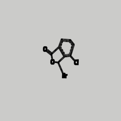 O=C1OC(Br)c2c(Cl)cccc21